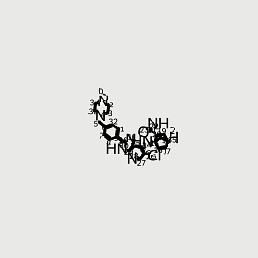 CN1CCN(Cc2ccc(-c3nc4c(N[C@@]56C=C[C@H](C[C@@H]5C(N)=O)C6)c(Cl)cnc4[nH]3)cc2)CC1